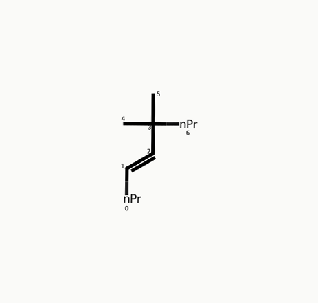 [CH2]CCC=CC(C)(C)CCC